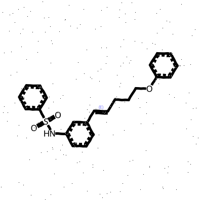 O=S(=O)(Nc1cccc(/C=C/CCCOc2c[c]ccc2)c1)c1ccccc1